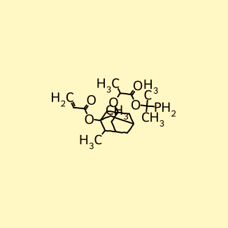 C=CC(=O)OC12CC3(OC(C)C(=O)OC(C)(C)P)CC(CC(C3)C1C)C2C